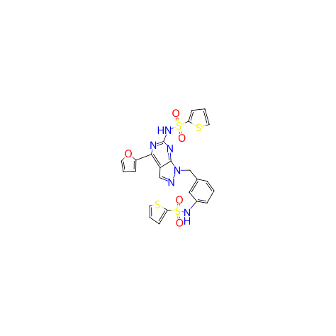 O=S(=O)(Nc1cccc(Cn2ncc3c(-c4ccco4)nc(NS(=O)(=O)c4cccs4)nc32)c1)c1cccs1